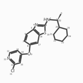 C[C@H](Nc1nc2ccc(Oc3ccnc(Cl)c3)cc2s1)C1CCCCC1